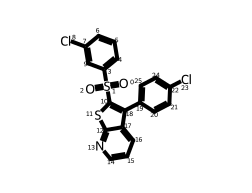 O=S(=O)(c1cccc(Cl)c1)c1sc2ncccc2c1-c1ccc(Cl)cc1